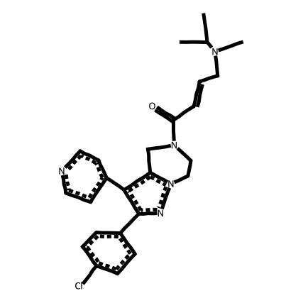 CC(C)N(C)C/C=C/C(=O)N1CCn2nc(-c3ccc(Cl)cc3)c(-c3ccncc3)c2C1